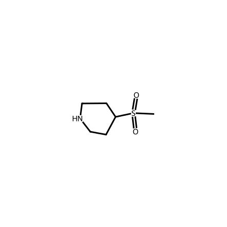 CS(=O)(=O)[C]1CCNCC1